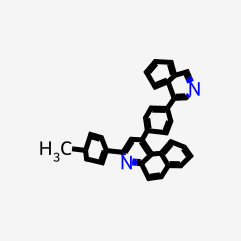 CC1C=CC(c2cc(-c3ccc(-c4cncc5ccccc45)cc3)c3c(ccc4ccccc43)n2)=CC1